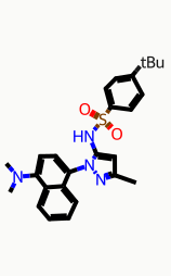 Cc1cc(NS(=O)(=O)c2ccc(C(C)(C)C)cc2)n(-c2ccc(N(C)C)c3ccccc23)n1